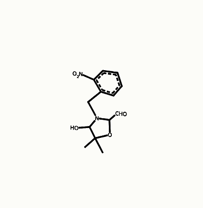 CC1(C)OC(C=O)N(Cc2ccccc2[N+](=O)[O-])C1O